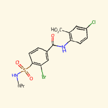 CCCNS(=O)(=O)c1ccc(C(=O)Nc2ccc(Cl)cc2C(=O)O)cc1Br